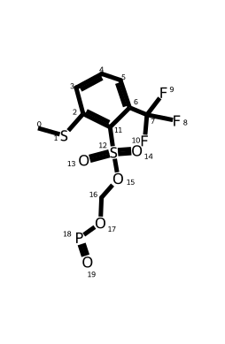 CSc1cccc(C(F)(F)F)c1S(=O)(=O)OCOP=O